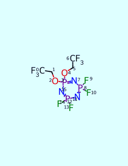 FC(F)(F)COP1(OCC(F)(F)F)=NP(F)(F)=NP(F)(F)=N1